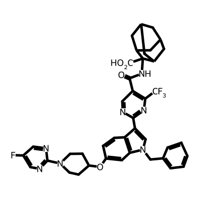 O=C(NC1(C(=O)O)C2CC3CC(C2)CC1C3)c1cnc(-c2cn(Cc3ccccc3)c3cc(OC4CCN(c5ncc(F)cn5)CC4)ccc23)nc1C(F)(F)F